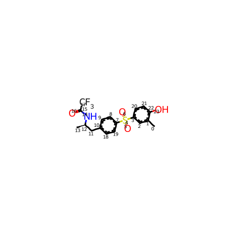 Cc1cc(S(=O)(=O)c2ccc(C[C@@H](C)NC(=O)C(F)(F)F)cc2)ccc1O